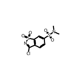 CN(C)S(=O)(=O)c1ccc2c(c1)S(=O)(=O)N=C2Cl